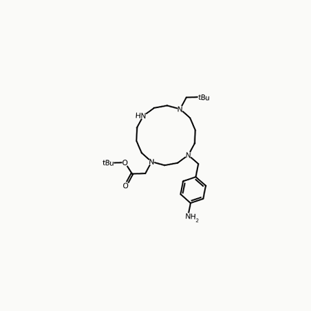 CC(C)(C)CN1CCCN(Cc2ccc(N)cc2)CCN(CC(=O)OC(C)(C)C)CCCNCC1